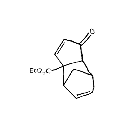 CCOC(=O)C12C=CC(=O)C1C1C=CC2C1